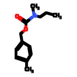 CCCN(C)C(=O)OCc1ccc(C)cc1